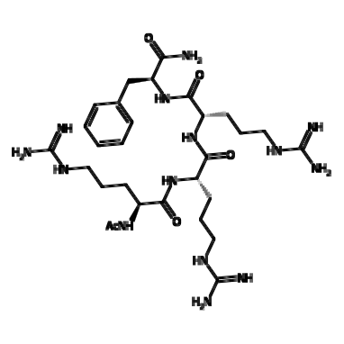 CC(=O)N[C@@H](CCCNC(=N)N)C(=O)N[C@@H](CCCNC(=N)N)C(=O)N[C@@H](CCCNC(=N)N)C(=O)N[C@@H](Cc1ccccc1)C(N)=O